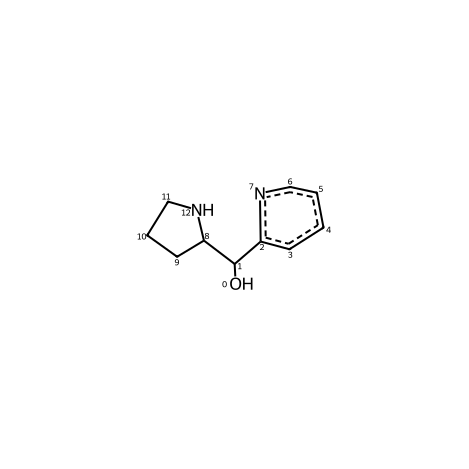 OC(c1ccccn1)C1CCCN1